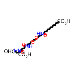 O=[C]CC[C@H](NC(=O)CCC(=O)NCCCOCCOCCCNC(=O)CCCCCCCCCCC(=O)O)C(=O)O